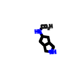 O=C(O)NC1CC2CNCC2C1